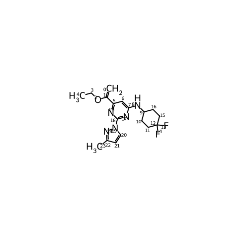 C=C(OCC)c1cc(NC2CCC(F)(F)CC2)nc(-n2ccc(C)n2)n1